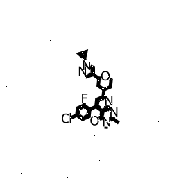 Cc1nc2nc(C3CCOC(c4cnn(C5CC5)c4)C3)cc(-c3ccc(Cl)cc3F)c2c(=O)n1C